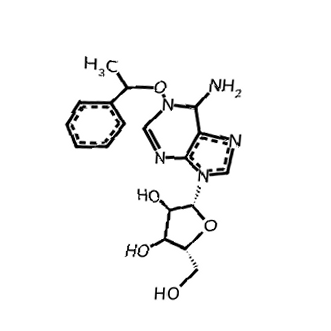 CC(ON1C=Nc2c(ncn2[C@@H]2O[C@H](CO)C(O)C2O)C1N)c1ccccc1